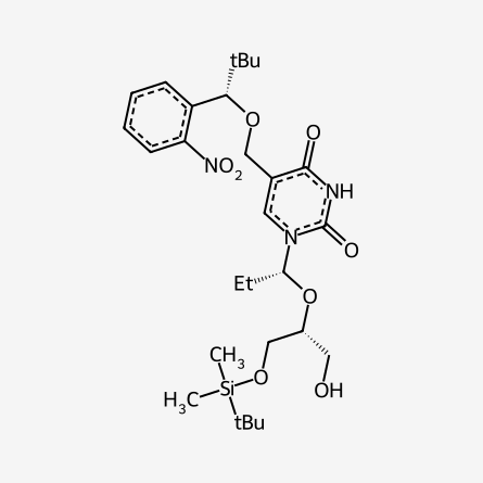 CC[C@@H](O[C@H](CO)CO[Si](C)(C)C(C)(C)C)n1cc(CO[C@H](c2ccccc2[N+](=O)[O-])C(C)(C)C)c(=O)[nH]c1=O